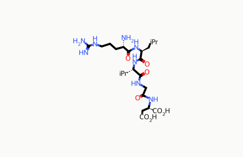 CC(C)C[C@H](NC(=O)[C@@H](N)CCCNC(=N)N)C(=O)N[C@H](C(=O)NCC(=O)N[C@@H](CC(=O)O)C(=O)O)C(C)C